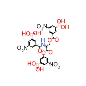 O=C(N[C@@H](COC(=O)c1cc(B(O)O)cc([N+](=O)[O-])c1)C(=O)Oc1cc(B(O)O)cc([N+](=O)[O-])c1)c1cc(B(O)O)cc([N+](=O)[O-])c1